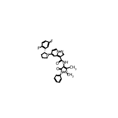 Cc1c(NC(=O)c2cnn3ccc(N4CCC[C@@H]4c4cc(F)ccc4F)cc23)c(=O)n(-c2ccccc2)n1C